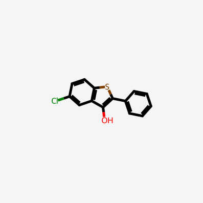 Oc1c(-c2ccccc2)sc2ccc(Cl)cc12